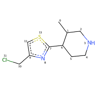 CC1CNCCC1c1nc(CCl)cs1